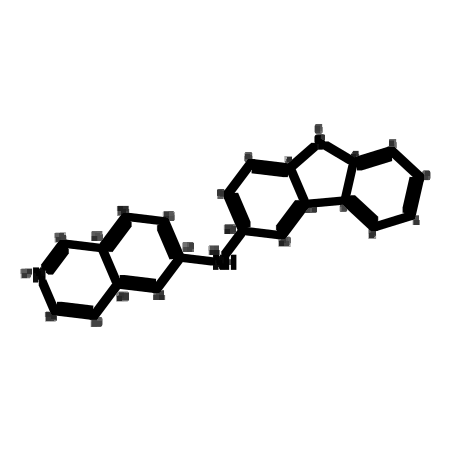 c1ccc2c(c1)sc1ccc(Nc3ccc4cnccc4c3)cc12